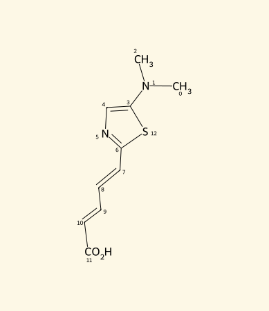 CN(C)c1cnc(C=CC=CC(=O)O)s1